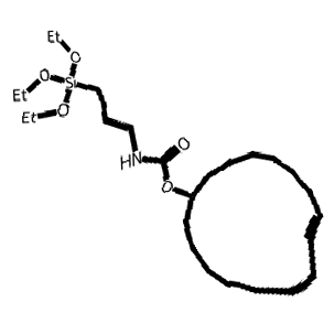 CCO[Si](CCCNC(=O)OC1CCCCCC/C=C/CCCCCCC1)(OCC)OCC